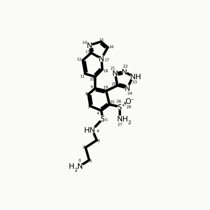 NCCCNSc1ccc(-c2ccc3nccn3c2)c(-c2nn[nH]n2)c1[S+](N)[O-]